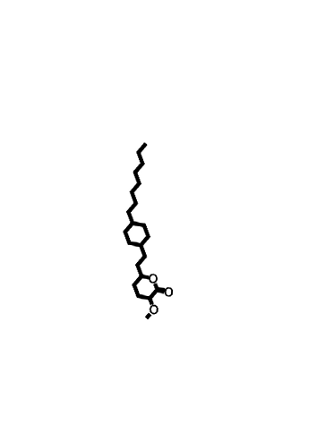 CCCCCCCCC1CCC(CCC2CCC(OC)C(=O)O2)CC1